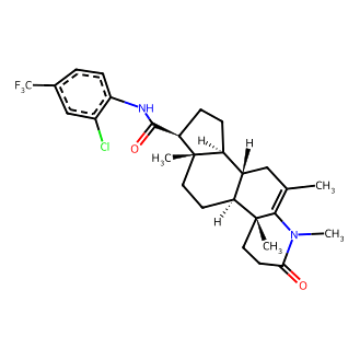 CC1=C2N(C)C(=O)CC[C@]2(C)[C@H]2CC[C@]3(C)[C@@H](C(=O)Nc4ccc(C(F)(F)F)cc4Cl)CC[C@H]3[C@@H]2C1